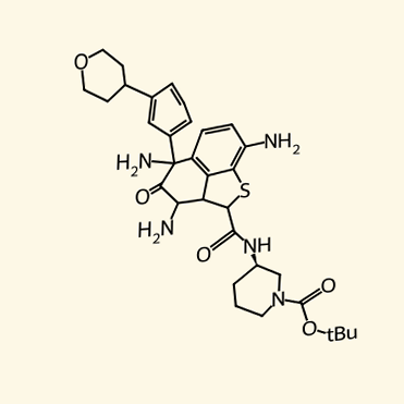 CC(C)(C)OC(=O)N1CCC[C@@H](NC(=O)C2Sc3c(N)ccc4c3C2C(N)C(=O)C4(N)c2cccc(C3CCOCC3)c2)C1